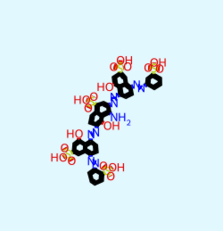 Nc1c(N=Nc2ccc(N=Nc3cccc(S(=O)(=O)O)c3)c3cc(S(=O)(=O)O)cc(O)c23)cc(S(=O)(=O)O)c2ccc(N=Nc3ccc(N=Nc4ccccc4S(=O)(=O)O)c4cc(S(=O)(=O)O)cc(O)c34)c(O)c12